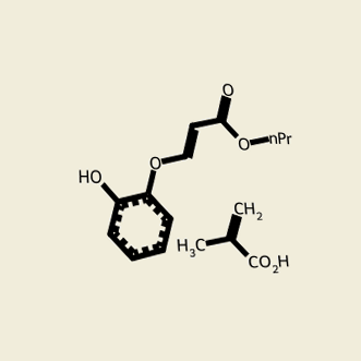 C=C(C)C(=O)O.CCCOC(=O)C=COc1ccccc1O